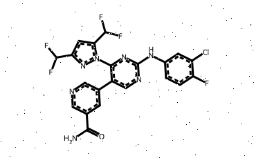 NC(=O)c1cncc(-c2cnc(Nc3ccc(F)c(Cl)c3)nc2-n2nc(C(F)F)cc2C(F)F)c1